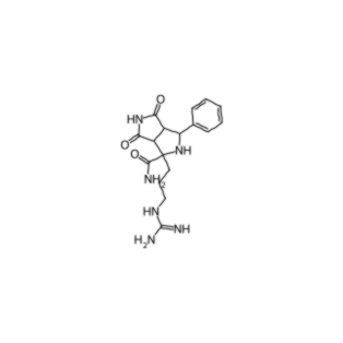 N=C(N)NCCCC1(C(N)=O)NC(c2ccccc2)C2C(=O)NC(=O)C21